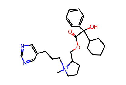 C[N+]1(CCCc2cncnc2)CCCC1COC(=O)C(O)(c1ccccc1)C1CCCCC1